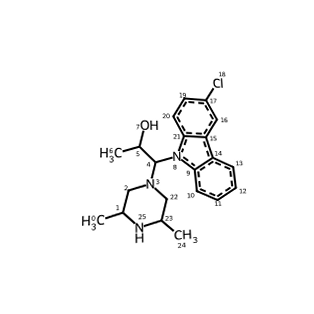 CC1CN(C(C(C)O)n2c3ccccc3c3cc(Cl)ccc32)CC(C)N1